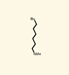 CCC(C)CCCCCCNC